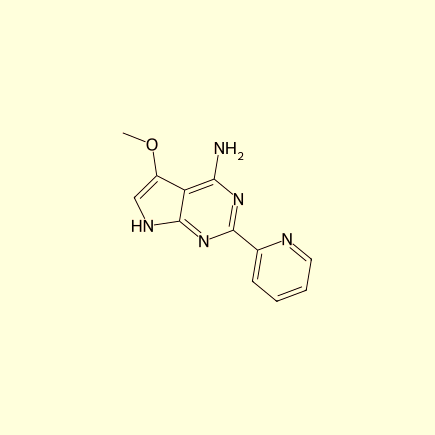 COc1c[nH]c2nc(-c3ccccn3)nc(N)c12